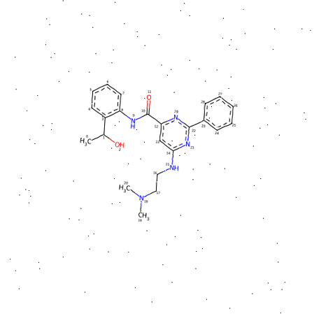 CC(O)c1ccccc1NC(=O)c1cc(NCCN(C)C)nc(-c2ccccc2)n1